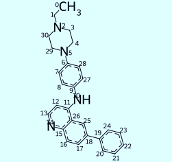 CCN1CCN(c2ccc(Nc3ccnc4ccc(-c5ccccc5)cc34)cc2)CC1